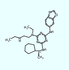 CCNCCN(CC)c1nc(Nc2ccc3ncoc3c2)nc(N[C@@H](C)C2CCCCC2)n1